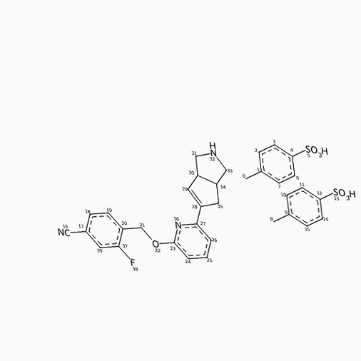 Cc1ccc(S(=O)(=O)O)cc1.Cc1ccc(S(=O)(=O)O)cc1.N#Cc1ccc(COc2cccc(C3=CC4CNCC4C3)n2)c(F)c1